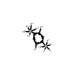 Fc1cc(S(F)(F)(F)(F)F)c(F)cc1S(F)(F)(F)(F)F